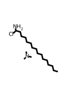 CCCCCCCCCCCCCCCC(N)Cl.CN(C)C